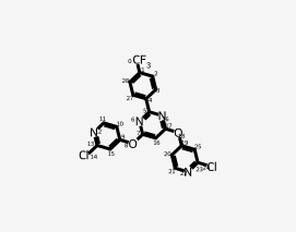 FC(F)(F)c1ccc(-c2nc(Oc3ccnc(Cl)c3)cc(Oc3ccnc(Cl)c3)n2)cc1